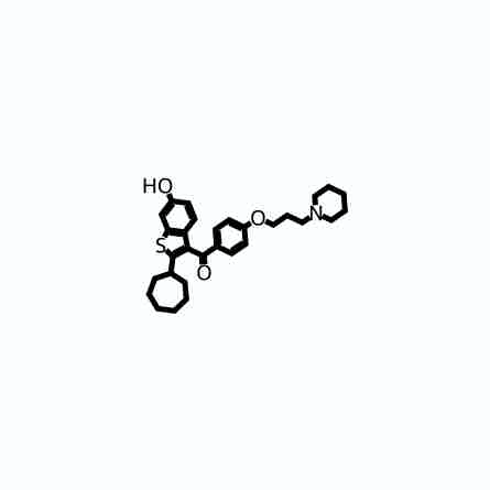 O=C(c1ccc(OCCCN2CCCCC2)cc1)c1c(C2CCCCCC2)sc2cc(O)ccc12